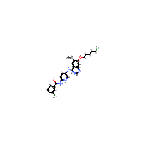 COc1cc2c(Nc3ccc(NC(=O)c4cccc(Cl)c4)nc3)ncnc2cc1OCCCCCCl